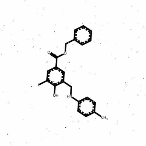 Cc1ccc(NCc2cc(C(=O)OCc3ccccc3)cc(I)c2O)cc1